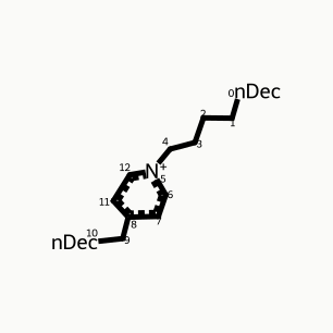 CCCCCCCCCCCCCC[n+]1ccc(CCCCCCCCCCC)cc1